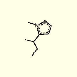 CCC(C)c1cccn1C